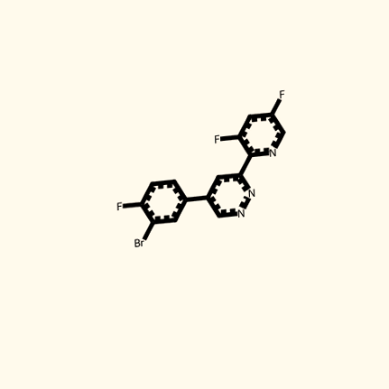 Fc1cnc(-c2cc(-c3ccc(F)c(Br)c3)cnn2)c(F)c1